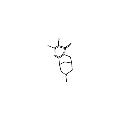 Cc1cc2n(c(=O)c1Br)CC1CC2CN(C)C1